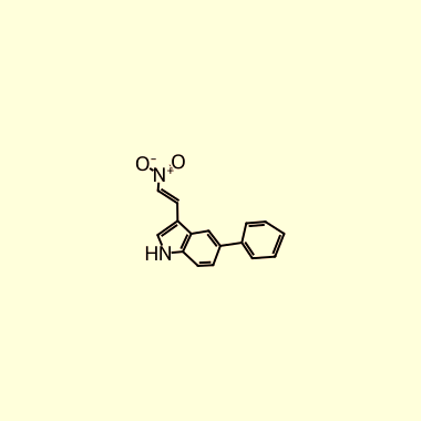 O=[N+]([O-])C=Cc1c[nH]c2ccc(-c3ccccc3)cc12